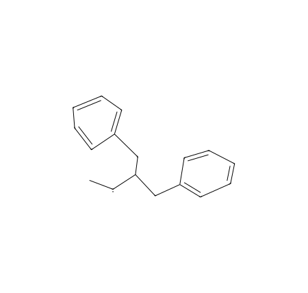 C[CH]C(Cc1ccccc1)Cc1ccccc1